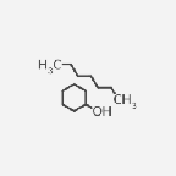 CCCCCCC.OC1CCCCC1